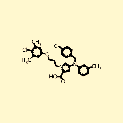 Cc1cccc(N(Cc2ccc(Cl)cc2)c2cc(C(=O)O)n(CCCOc3cc(C)c(Cl)c(C)c3)c2)c1